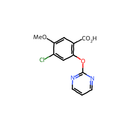 COc1cc(C(=O)O)c(Oc2ncccn2)cc1Cl